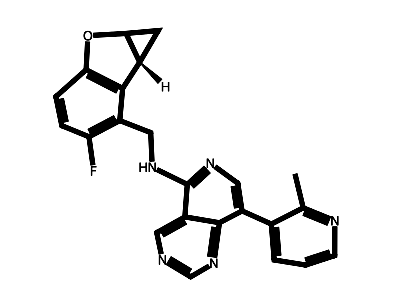 Cc1ncccc1-c1cnc(NCc2c(F)ccc3c2[C@H]2CC2O3)c2cncnc12